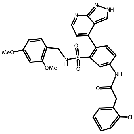 COc1ccc(CNS(=O)(=O)c2cc(NC(=O)Cc3ccccc3Cl)ccc2-c2ccnc3n[nH]cc23)c(OC)c1